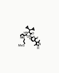 CSCCCn1nccc1C(=O)N[C@H](C(=O)Nc1ccc(-c2c(C)n[nH]c2C)c(F)n1)C(C1CC1)C1CC1